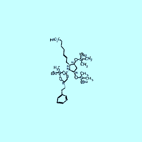 CC(C)(C)[Si](C)(C)O[C@@H](CCc1ccccc1)CC[C@@H]1[C@@H](CC=CCCCC(=O)O)[C@@H](O[Si](C)(C)C(C)(C)C)C[C@H]1O[Si](C)(C)C(C)(C)C